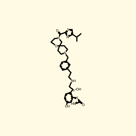 CC(C)c1csc(C(=O)N2CCOC3(CCN(Cc4cccc(CCNC[C@H](O)c5ccc(O)c6[nH]c(=O)sc56)c4)CC3)C2)n1